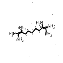 NC(N)=C(N)CCCCCC(N)=C(N)N